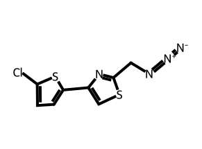 [N-]=[N+]=NCc1nc(-c2ccc(Cl)s2)cs1